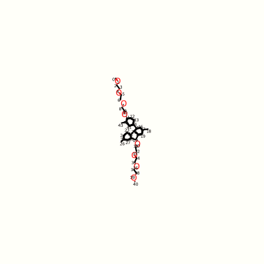 COCCOCCOCCOc1ccc(-c2cc(C)cc3c2-c2ccc(C)cc2C3OCCOCCOCCOC)cc1C